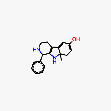 CC12CC=C(O)C=C1C1=C(N2)C(c2ccccc2)NCC1